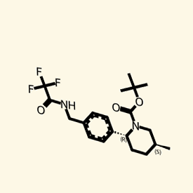 C[C@H]1CC[C@H](c2ccc(CNC(=O)C(F)(F)F)cc2)N(C(=O)OC(C)(C)C)C1